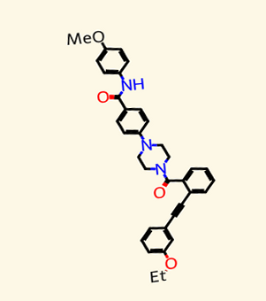 CCOc1cccc(C#Cc2ccccc2C(=O)N2CCN(c3ccc(C(=O)Nc4ccc(OC)cc4)cc3)CC2)c1